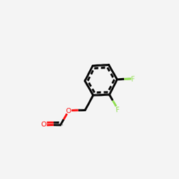 O=[C]OCc1cccc(F)c1F